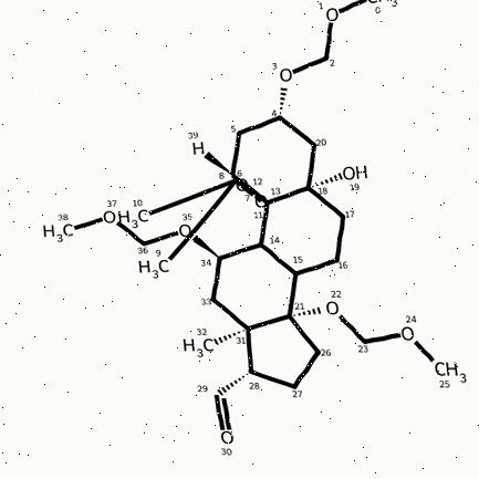 COCO[C@H]1C[C@H]2OC(C)(C)OC[C@]23C2C(CC[C@]3(O)C1)[C@@]1(OCOC)CC[C@H](C=O)[C@@]1(C)C[C@H]2OCOC